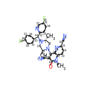 C[C@@H]1CN(c2c(C#N)c(=O)n(C)c3ccc(C#N)nc23)[C@@H](C)CN1C(c1ccc(F)cc1)c1ccc(F)cn1